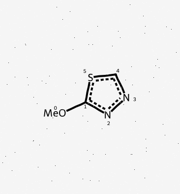 [CH2]Oc1nncs1